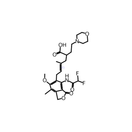 COc1c(C)c2c(c(NC(=O)C(F)F)c1C/C=C(\C)CC(CCN1CCOCC1)C(=O)O)C(=O)OC2